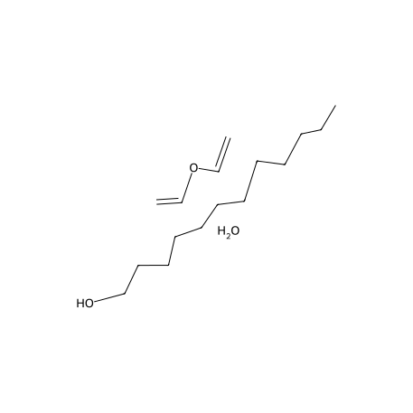 C=COC=C.CCCCCCCCCCCCO.O